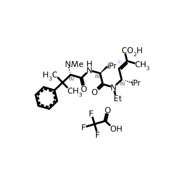 CCN(C(=O)[C@@H](NC(=O)[C@@H](NC)C(C)(C)c1ccccc1)C(C)C)[C@H](/C=C(\C)C(=O)O)C(C)C.O=C(O)C(F)(F)F